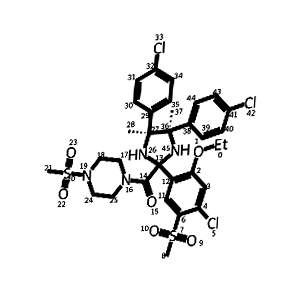 CCOc1cc(Cl)c(S(C)(=O)=O)cc1C1(C(=O)N2CCN(S(C)(=O)=O)CC2)N[C@@](C)(c2ccc(Cl)cc2)[C@@](C)(c2ccc(Cl)cc2)N1